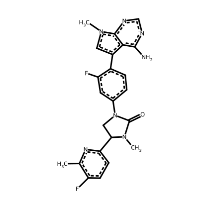 Cc1nc(C2CN(c3ccc(-c4cn(C)c5ncnc(N)c45)c(F)c3)C(=O)N2C)ccc1F